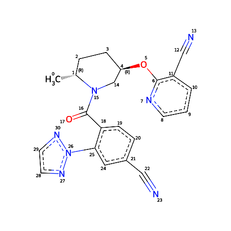 C[C@@H]1CC[C@@H](Oc2ncccc2C#N)CN1C(=O)c1ccc(C#N)cc1-n1nccn1